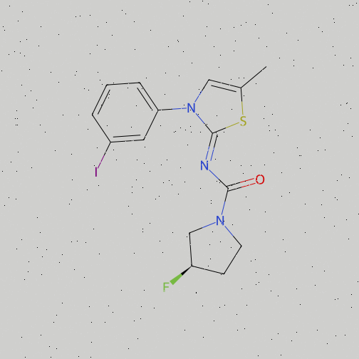 Cc1cn(-c2cccc(I)c2)c(=NC(=O)N2CC[C@@H](F)C2)s1